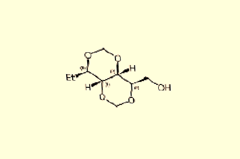 CC[C@H]1OCO[C@H]2[C@@H]1OCO[C@@H]2CO